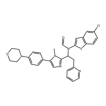 Cn1c(-c2ccc(N3CCOCC3)cc2)cnc1C(Cc1ccccn1)N(C=O)c1cc2cc(Cl)ccc2s1